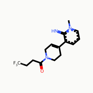 Cn1cccc(C2=CCN(C(=O)CCC(F)(F)F)CC2)c1=N